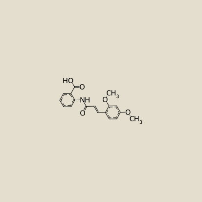 COc1ccc(C=CC(=O)Nc2ccccc2C(=O)O)c(OC)c1